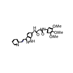 COc1cc(NC(=O)CC(=O)Nc2ccc3c(/C=C/c4ccccn4)n[nH]c3c2)cc(OC)c1OC